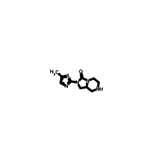 Cc1cnc(N2CC3CNCCN3C2=O)s1